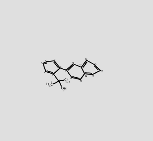 CC(O)(c1ccccc1-c1ccc2ccccc2c1)C(F)(F)F